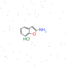 Cl.Nc1cc2ccccc2o1